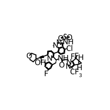 Cn1nc(NS(C)(=O)=O)c2c(Cl)ccc(-c3ccc(C#CC4(O)CCOCC4)nc3[C@H](Cc3cc(F)cc(F)c3)NC(=O)Cn3nc(C(F)(F)F)c4c3C(F)(F)[C@@H]3C[C@H]43)c21